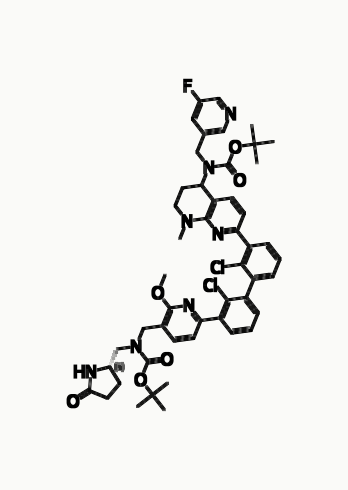 COc1nc(-c2cccc(-c3cccc(-c4ccc5c(n4)N(C)CCC5N(Cc4cncc(F)c4)C(=O)OC(C)(C)C)c3Cl)c2Cl)ccc1CN(C[C@@H]1CCC(=O)N1)C(=O)OC(C)(C)C